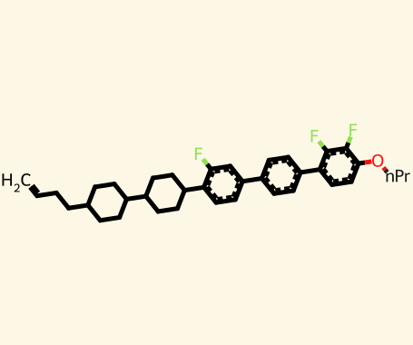 C=CCCC1CCC(C2CCC(c3ccc(-c4ccc(-c5ccc(OCCC)c(F)c5F)cc4)cc3F)CC2)CC1